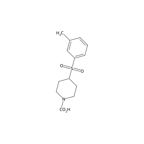 Cc1cccc(S(=O)(=O)C2CCN(C(=O)O)CC2)c1